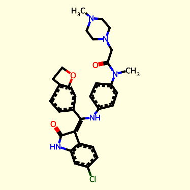 CN1CCN(CC(=O)N(C)c2ccc(NC(=C3C(=O)Nc4cc(Cl)ccc43)c3ccc4c(c3)OCC4)cc2)CC1